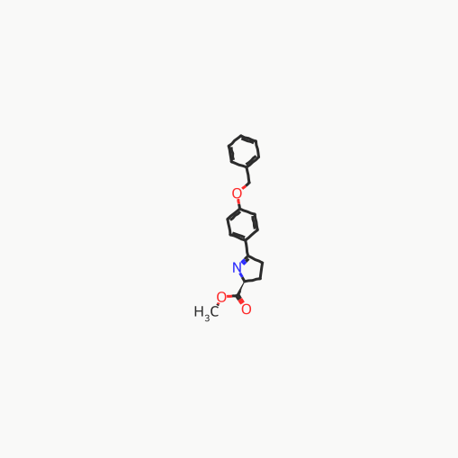 COC(=O)[C@@H]1CCC(c2ccc(OCc3ccccc3)cc2)=N1